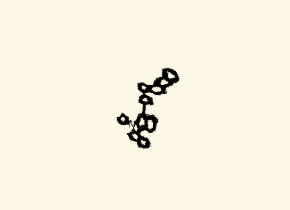 c1ccc(-n2c3ccc4ccccc4c3c3c4ccccc4c(-c4ccc(-c5cccc6c5ccc5cc7ccccc7cc56)cc4)cc32)cc1